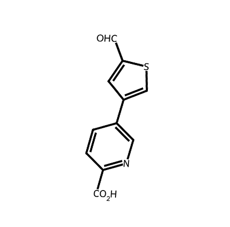 O=Cc1cc(-c2ccc(C(=O)O)nc2)cs1